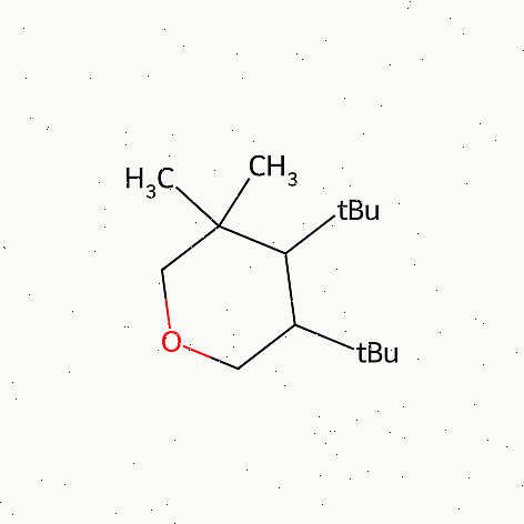 CC(C)(C)C1COCC(C)(C)C1C(C)(C)C